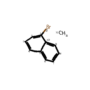 Brc1cccc2ccccc12.C